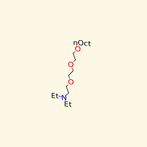 CCCCCCCCOCCOCCOCCN(CC)CC